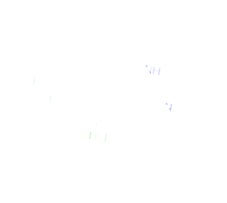 Cl.Cl.N[C@H](CN1CCC1)c1ccc(C(F)(F)F)cc1